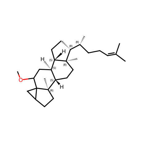 COC1C[C@H]2[C@@H]3CC[C@H]([C@H](C)CCC=C(C)C)[C@@]3(C)CC[C@@H]2[C@@]2(C)CCC3CC312